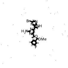 COC(OC(C)c1cc(-c2c[nH]c3ncc(Br)nc23)nc(N)n1)c1cccc(F)c1